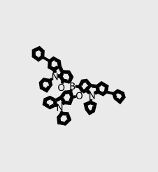 c1ccc(-c2ccc3c4ccc5c(c4n(-c4ccccc4)c3c2)Oc2cc3c(c4c2B5c2ccc5c6ccc(-c7ccccc7)cc6n(-c6ccccc6)c5c2O4)c2ccccc2n3-c2ccccc2)cc1